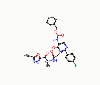 CC(C)[C@H](NC(=O)Cn1c(-c2ccc(F)cc2)ncc(NC(=O)OCc2ccccc2)c1=O)C(=O)c1nnc(C(C)(C)C)o1